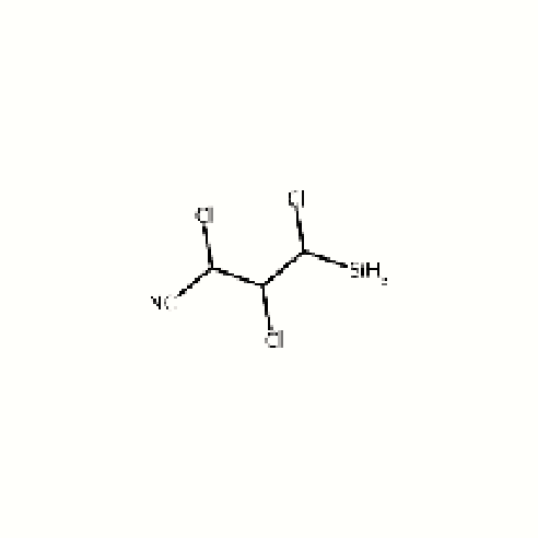 N#CC(Cl)C(Cl)C([SiH3])Cl